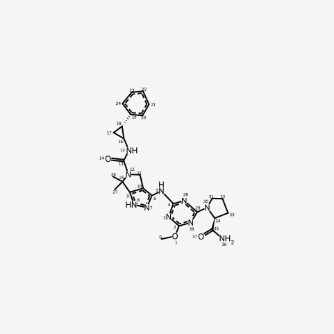 COc1nc(Nc2n[nH]c3c2CN(C(=O)NC2C[C@@H]2c2ccccc2)C3(C)C)nc(N2CCC[C@H]2C(N)=O)n1